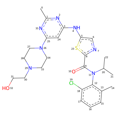 Cc1nc(Nc2cnc(C(=O)N(c3c(C)cccc3Cl)C(C)C)s2)cc(N2CCN(CCO)CC2)n1